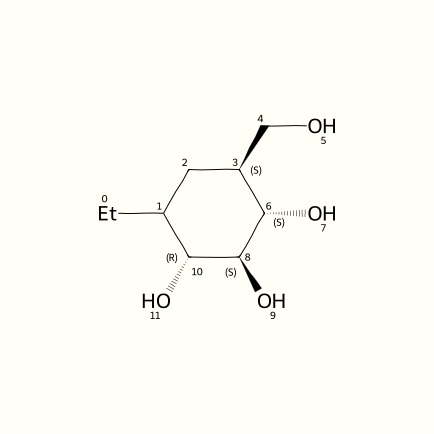 CCC1C[C@@H](CO)[C@H](O)[C@@H](O)[C@@H]1O